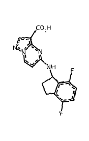 O=C(O)c1cnn2ccc(NC3CCc4c(F)ccc(F)c43)nc12